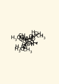 CC(C)CNS(=O)(=O)c1cc2c(c3cnc(C4CC4)cc13)[C@@H](NC(=O)OC(C)(C)C)C[C@H]2NC(=O)OC(C)(C)C